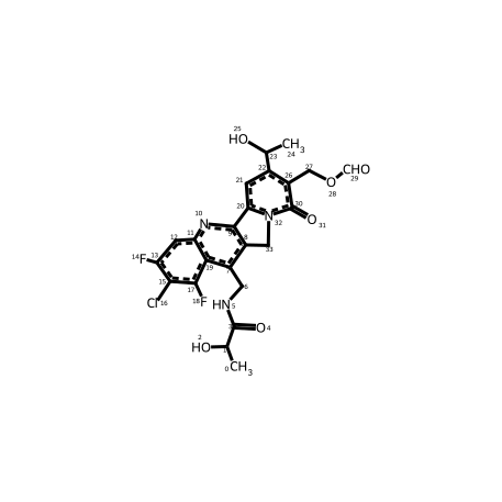 CC(O)C(=O)NCc1c2c(nc3cc(F)c(Cl)c(F)c13)-c1cc(C(C)O)c(COC=O)c(=O)n1C2